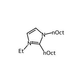 CCCCCCCCc1n(CCCCCCCC)cc[n+]1CC